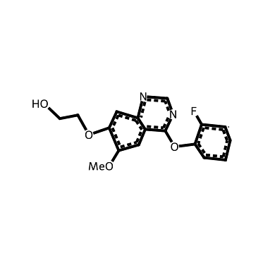 COc1cc2c(Oc3ccc[c]c3F)ncnc2cc1OCCO